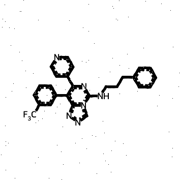 FC(F)(F)c1cccc(-c2c(-c3ccncc3)nc(NCCCc3ccccc3)n3cnnc23)c1